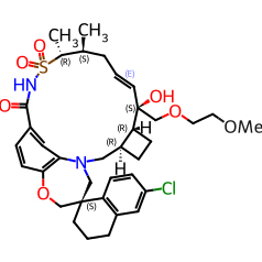 COCCOC[C@@]1(O)/C=C/C[C@H](C)[C@@H](C)S(=O)(=O)NC(=O)c2ccc3c(c2)N(C[C@@H]2CC[C@H]21)C[C@@]1(CCCc2cc(Cl)ccc21)CO3